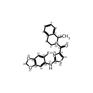 CC1c2ccccc2CCN1C(=O)c1csc(Nc2cc3c(cc2F)OCO3)n1